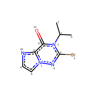 CC(C)n1c(Br)nn2ccnc2c1=O